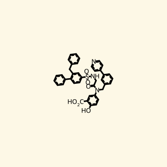 O=C(O)c1cc(N(Cc2cccc(-c3ccncc3)c2)C(=O)CNS(=O)(=O)c2ccc(-c3ccccc3)c(Cc3ccccc3)c2)ccc1O